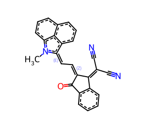 Cn1/c(=C/C=C2\C(=O)c3ccccc3C2=C(C#N)C#N)c2cccc3cccc1c32